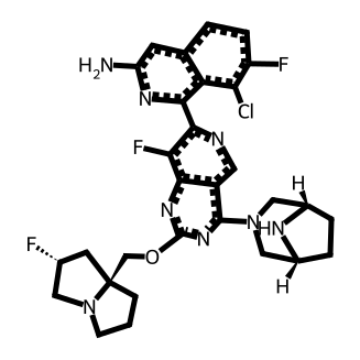 Nc1cc2ccc(F)c(Cl)c2c(-c2ncc3c(N4C[C@H]5CC[C@@H](C4)N5)nc(OC[C@@]45CCCN4C[C@H](F)C5)nc3c2F)n1